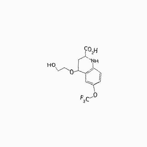 O=C(O)C1CC(OCCO)c2cc(OC(F)(F)F)ccc2N1